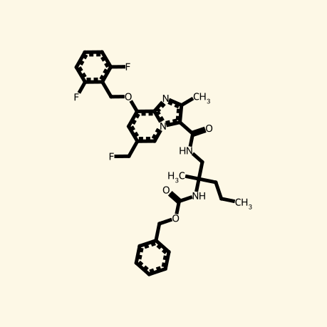 CCCC(C)(CNC(=O)c1c(C)nc2c(OCc3c(F)cccc3F)cc(CF)cn12)NC(=O)OCc1ccccc1